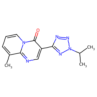 Cc1cccn2c(=O)c(-c3nnn(C(C)C)n3)cnc12